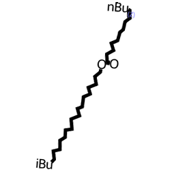 CCCC/C=C\CCCCCCCC(=O)OCCCCCCCCCCCCCCCCCC(C)CC